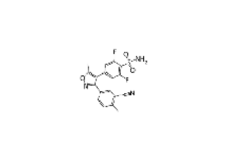 Cc1ccc(-c2noc(C)c2-c2cc(F)c(S(N)(=O)=O)c(F)c2)cc1C#N